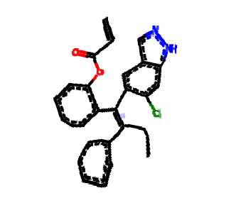 C=CC(=O)Oc1ccccc1/C(=C(/CC)c1ccccc1)c1cc2cn[nH]c2cc1Cl